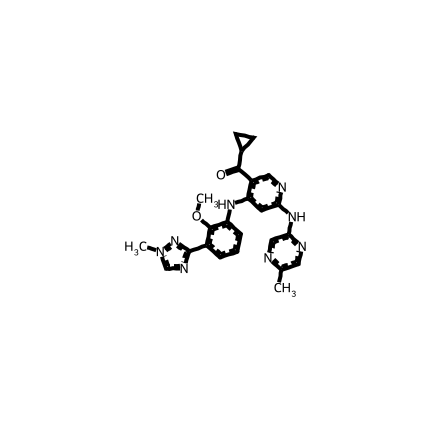 COc1c(Nc2cc(Nc3cnc(C)cn3)ncc2C(=O)C2CC2)cccc1-c1ncn(C)n1